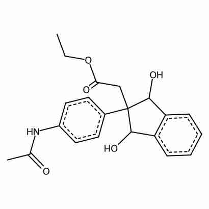 CCOC(=O)CC1(c2ccc(NC(C)=O)cc2)C(O)c2ccccc2C1O